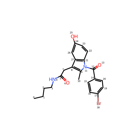 CCCCNC(=O)Cc1c(C)n(C(=O)c2ccc(Br)cc2)c2ccc(O)cc12